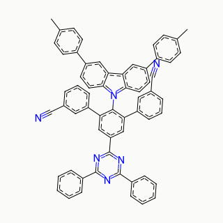 Cc1ccc(-c2ccc3c(c2)c2cc(-c4ccc(C)cc4)ccc2n3-c2c(-c3cccc(C#N)c3)cc(-c3nc(-c4ccccc4)nc(-c4ccccc4)n3)cc2-c2cccc(C#N)c2)cc1